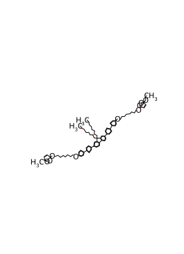 CCCCCCCCC1(CCCCCCCC)c2cc(-c3ccc(-c4ccc(OCCCCCCCCOC(=O)/C=C\C(C)=O)cc4)cc3)ccc2-c2ccc(-c3ccc(-c4ccc(OCCCCCCCCOC(=O)/C=C\C(=O)OCC)cc4)cc3)cc21